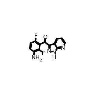 Nc1ccc(F)c(C(=O)c2n[nH]c3ncccc23)c1F